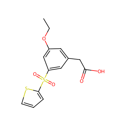 CCOc1cc(CC(=O)O)cc(S(=O)(=O)c2cccs2)c1